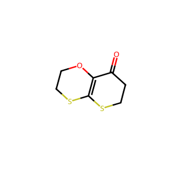 O=C1CCSC2=C1OCCS2